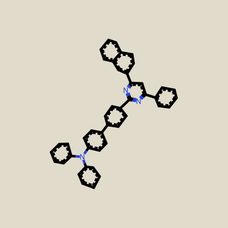 c1ccc(-c2cc(-c3ccc4ccccc4c3)nc(-c3ccc(-c4ccc(N(c5ccccc5)c5ccccc5)cc4)cc3)n2)cc1